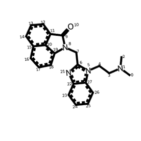 CN(C)CCn1c(CN2C(=O)c3cccc4cccc2c34)nc2ccccc21